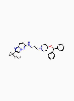 O=C(O)C1(c2cn3nc(NCCCN4CCC(OC(c5ccccc5)c5ccccc5)CC4)ccc3n2)CC1